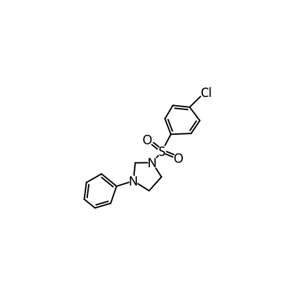 O=S(=O)(c1ccc(Cl)cc1)N1CCN(c2ccccc2)C1